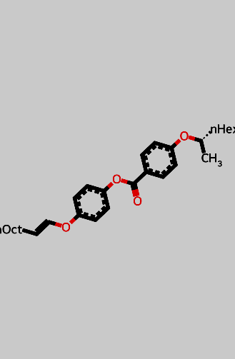 CCCCCCCC/C=C/Oc1ccc(OC(=O)c2ccc(O[C@@H](C)CCCCCC)cc2)cc1